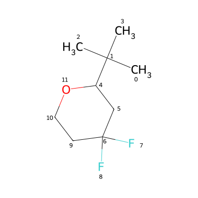 CC(C)(C)C1CC(F)(F)CCO1